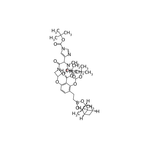 CN(C)C(C(=O)N1CC(Oc2ccc(CCB3O[C@@H]4C[C@@H]5C[C@@H](C5(C)C)[C@]4(C)O3)c(OC(=O)OC(C)(C)C)c2C(=O)OC(C)(C)C)C1)c1cn(C(=O)OC(C)(C)C)cn1